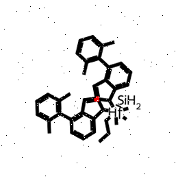 CC[CH2][Hf]([CH3])([CH3])([CH3])(=[SiH2])([CH]1C=Cc2c(-c3c(C)cccc3C)cccc21)[CH]1C=Cc2c(-c3c(C)cccc3C)cccc21